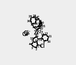 Clc1cccc2c1C(c1ccccc1)[C]([Zr+2][C]1=Cc3c4cccc3C1c1ccc(cc1)S4)=C2.[Cl-].[Cl-]